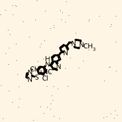 CN1CCN(Cc2ccc(-c3ccc4c(Nc5ccc(Sc6nccn6C)c(Cl)c5)c(C#N)cnc4c3)nc2)CC1